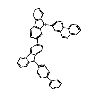 C1=Cc2c(c3ccc(-c4ccc5c(c4)c4ccccc4n5-c4ccc(-c5ccccc5)cc4)cc3n2-c2ccc3c(ccc4ccccc43)c2)CC1